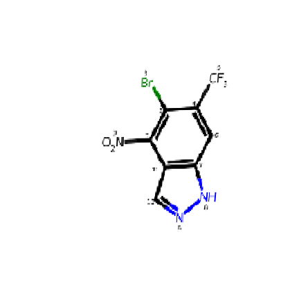 O=[N+]([O-])c1c(Br)c(C(F)(F)F)cc2[nH]ncc12